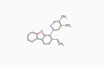 C=Cc1ccc2c(oc3ccccc32)c1-c1cc(C)c(C)cn1